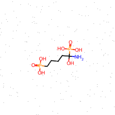 NC(O)(CCCCP(=O)(O)O)P(=O)(O)O